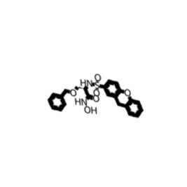 O=C(NO)[C@H](COCc1ccccc1)NS(=O)(=O)c1ccc2c(c1)Cc1ccccc1O2